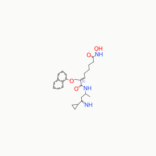 CC(CC(=N)C1CC1)NC(=O)/C(=C/CCCCC(=O)NO)COc1cccc2ccccc12